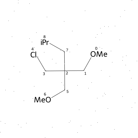 COCC(CCl)(COC)CC(C)C